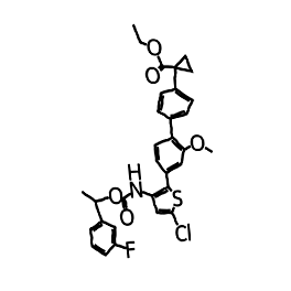 CCOC(=O)C1(c2ccc(-c3ccc(-c4sc(Cl)cc4NC(=O)OC(C)c4cccc(F)c4)cc3OC)cc2)CC1